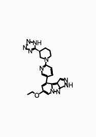 CCOc1cc(-c2ccc(N3CCC[C@H](c4nnn[nH]4)C3)nc2)c2c3cn[nH]c3nn2c1